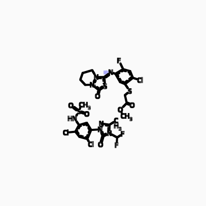 COC(=O)CSc1cc(/N=c2\sc(=O)n3n2CCCC3)c(F)cc1Cl.Cc1nn(-c2cc(NS(C)(=O)=O)c(Cl)cc2Cl)c(=O)n1C(F)F